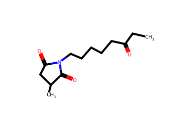 CCC(=O)CCCCCN1C(=O)CC(C)C1=O